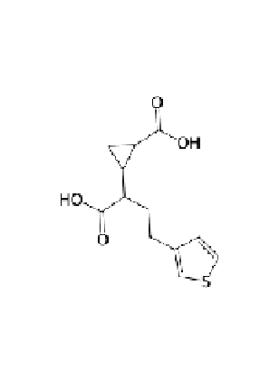 O=C(O)C(CCc1ccsc1)C1CC1C(=O)O